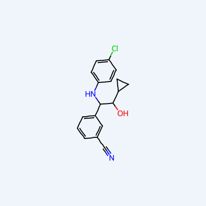 N#Cc1cccc(C(Nc2ccc(Cl)cc2)C(O)C2CC2)c1